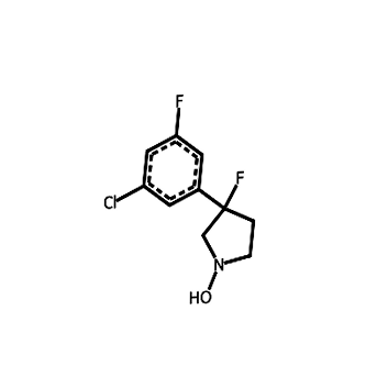 ON1CCC(F)(c2cc(F)cc(Cl)c2)C1